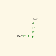 [Ba+2].[Eu+3].[F-].[F-].[F-].[F-].[F-].[F]